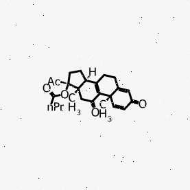 CCCC(=O)O[C@]1(C(C)=O)CC[C@H]2C3=C(C(=O)C[C@@]21C)[C@@]1(C)C=CC(=O)C=C1CC3